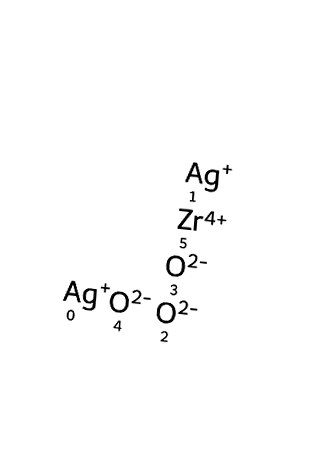 [Ag+].[Ag+].[O-2].[O-2].[O-2].[Zr+4]